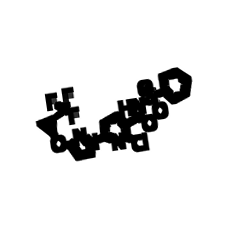 O=C(NS(=O)(=O)c1ccccc1)c1ccc(-n2ccc(OC3C[C@H]3C(F)(F)F)n2)nc1Cl